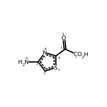 Nc1csc(C(=O)C(=O)O)n1